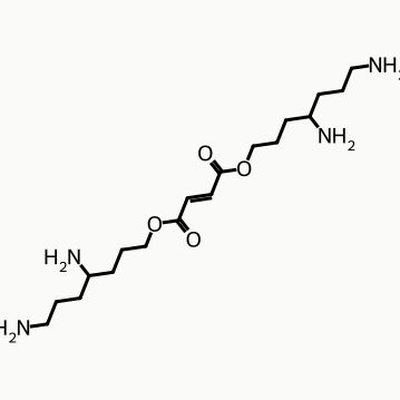 NCCCC(N)CCCOC(=O)/C=C/C(=O)OCCCC(N)CCCN